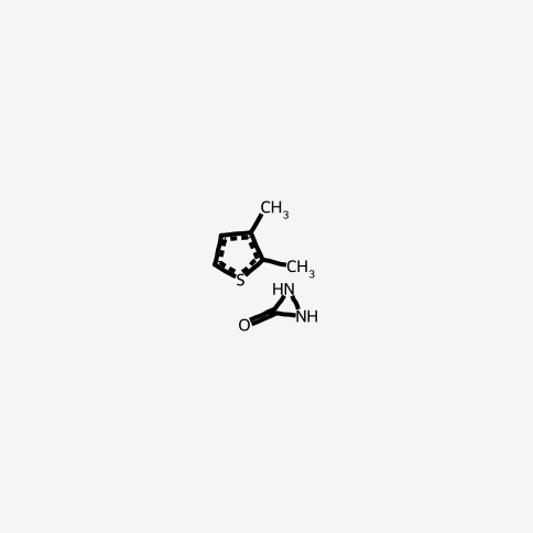 Cc1ccsc1C.O=C1NN1